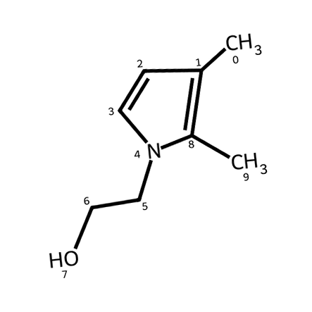 Cc1ccn(CCO)c1C